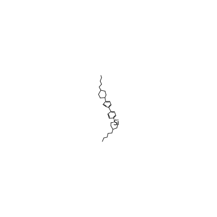 CCCCCC1CCC(c2ccc(-c3ccc([Si]4(C)CCC(CCCCC)CC4)cc3)cc2)CC1